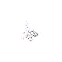 C=CC(=O)N1CCN(c2c(C#N)c(=O)n(-c3c(C)ccnc3C(C)C)c3n[c]([Sn]([CH2]CCC)([CH2]CCC)[CH2]CCC)c(Cl)cc23)CC1